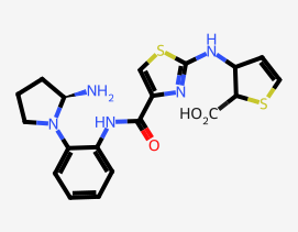 N[C@@H]1CCCN1c1ccccc1NC(=O)c1csc(NC2C=CSC2C(=O)O)n1